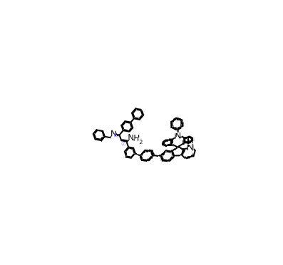 N/C(=C\C(=N/Cc1ccccc1)c1ccc(-c2ccccc2)cc1)c1cccc(-c2ccc(-c3ccc4c(c3)C3(C5=C4C=CCN5)c4ccccc4N(c4ccccc4)c4ccccc43)cc2)c1